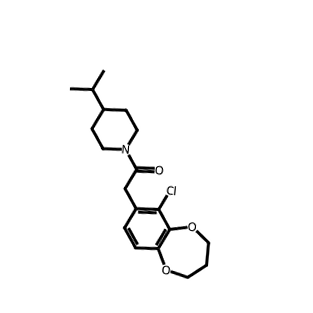 CC(C)C1CCN(C(=O)Cc2ccc3c(c2Cl)OCCCO3)CC1